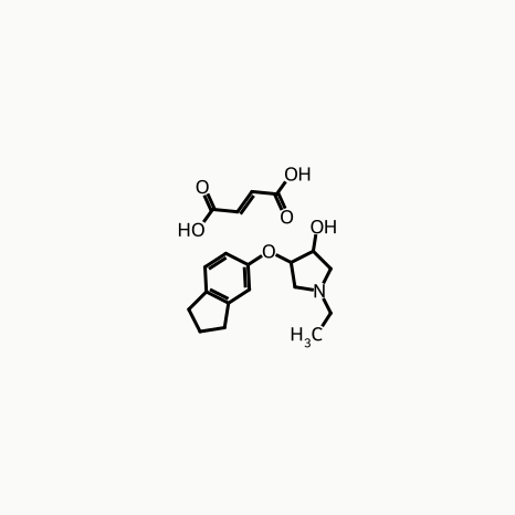 CCN1CC(O)C(Oc2ccc3c(c2)CCC3)C1.O=C(O)C=CC(=O)O